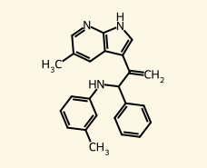 C=C(c1c[nH]c2ncc(C)cc12)C(Nc1cccc(C)c1)c1ccccc1